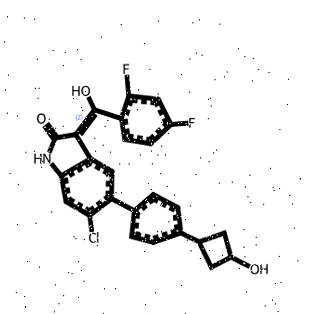 O=C1Nc2cc(Cl)c(-c3ccc(C4CC(O)C4)cc3)cc2/C1=C(/O)c1ccc(F)cc1F